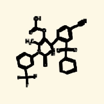 CC1=C(OC(=O)O)C(c2ccc(C#N)cc2S(=O)(=O)c2ccccc2)NC(=O)N1c1cccc(C(F)(F)F)c1